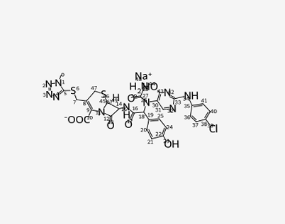 Cn1nnnc1SCC1=C(C(=O)[O-])N2C(=O)C(NC(=O)C(c3ccc(O)cc3)N(C(N)=O)c3cnc(Nc4ccc(Cl)cc4)nc3O)[C@@H]2SC1.[Na+]